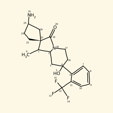 CC1C2CC(O)(c3ccccc3C(F)(F)F)CCN2C(=O)[C@]12CCC(N)C2